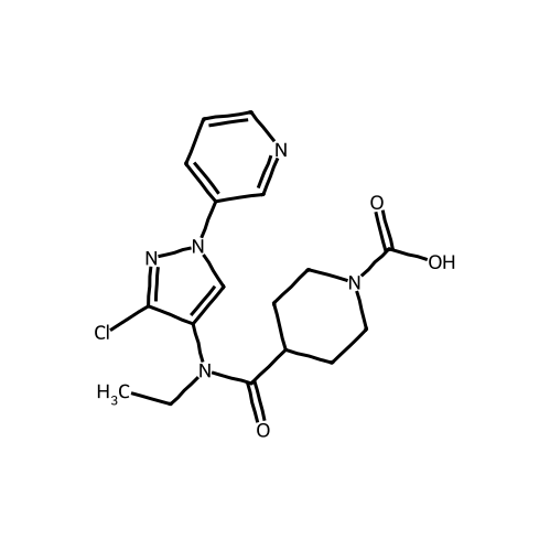 CCN(C(=O)C1CCN(C(=O)O)CC1)c1cn(-c2cccnc2)nc1Cl